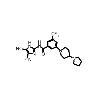 N#Cc1nc(NC(=O)c2cc(N3CCC(N4CCCC4)CC3)cc(C(F)(F)F)c2)[nH]c1C#N